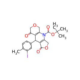 Cc1ccc(C2C3=C(COCC3=O)N(C(=O)OC(C)(C)C)C3=C2C(=O)OC3)cc1I